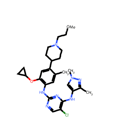 COCCN1CCC(c2cc(OC3CC3)c(Nc3ncc(Cl)c(Nc4cn(C)nc4C)n3)cc2C)CC1